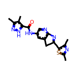 Cc1nc(C)c(C2=Nc3ncc(NC(=O)c4[nH]nc(C)c4C)cc3C2)s1